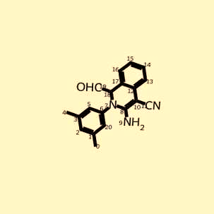 Cc1cc(C)cc(N2C(N)=C(C#N)c3ccccc3C2C=O)c1